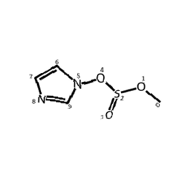 COS(=O)On1ccnc1